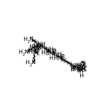 CC(=O)[C@H](CCCCN)NC(=O)C(CCCCN)NC(=O)[C@H](CCCCN)NC(=O)CNCCNC(=O)CNC(=O)CNCCNC(=O)CCCCCCCNC(=O)CNC(=O)[C@H](C)NC(=O)C(C)Cc1ccc[nH]1